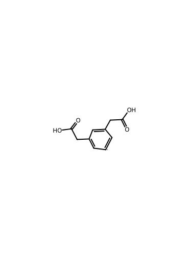 O=C(O)Cc1c[c]cc(CC(=O)O)c1